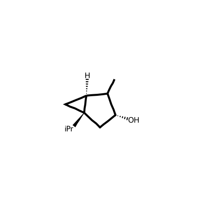 CC1[C@H](O)C[C@]2(C(C)C)C[C@@H]12